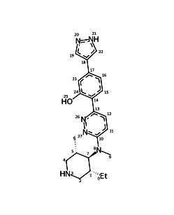 CC[C@@H]1CNC[C@H](C)[C@H]1N(C)c1ccc(-c2ccc(-c3cn[nH]c3)cc2O)nn1